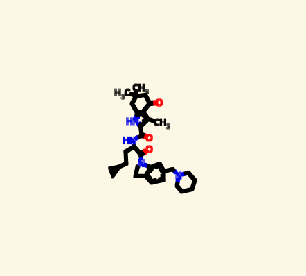 Cc1c(C(=O)NC(CCC2CC2)C(=O)N2CCc3ccc(CN4CCCCC4)cc32)[nH]c2c1C(=O)CC(C)(C)C2